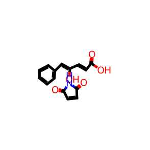 O=C(O)C=CC(O)=Cc1ccccc1.O=C1C=CC(=O)N1